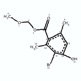 COCOC(=O)c1c(C)cc(O)c(Br)c1C